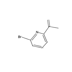 C=C(C)c1c[c]cc(Br)n1